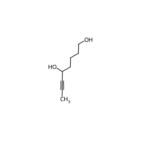 CC#CC(O)CCCCO